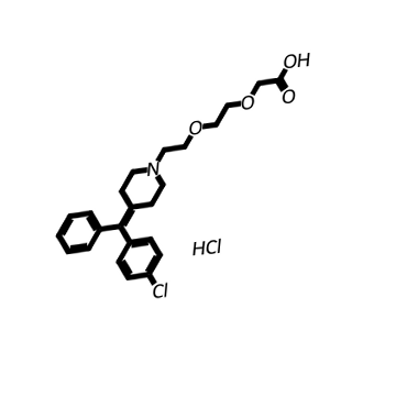 Cl.O=C(O)COCCOCCN1CCC(=C(c2ccccc2)c2ccc(Cl)cc2)CC1